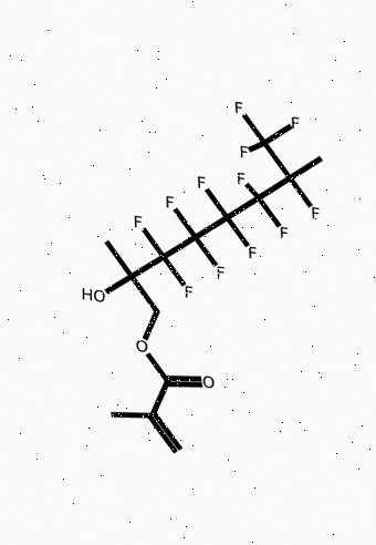 C=C(C)C(=O)OCC(C)(O)C(F)(F)C(F)(F)C(F)(F)C(F)(F)C(C)(F)C(F)(F)F